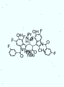 CCCCNC(=O)C(c1c(C)n(C(=O)c2cccc(F)c2)c2cc(F)c(O)c(F)c12)C(C(=O)NC(C)C)c1c(C)n(C(=O)c2cccc(F)c2)c2cc(F)c(O)c(F)c12